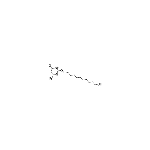 CCCc1cc(=O)[nH]c(SCCCCCCCCCCCO)n1